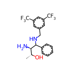 C[C@@H](O)[C@@H](N)C(NCc1cc(C(F)(F)F)cc(C(F)(F)F)c1)c1ccccc1